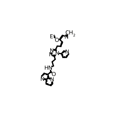 C=N/C=C(\C=C/Cc1nnc(CCCNC(=O)c2ccnc3cccnc23)n1-c1cccnc1)OCC